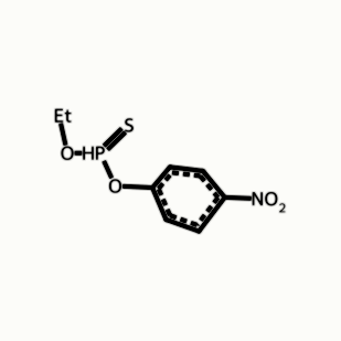 CCO[PH](=S)Oc1ccc([N+](=O)[O-])cc1